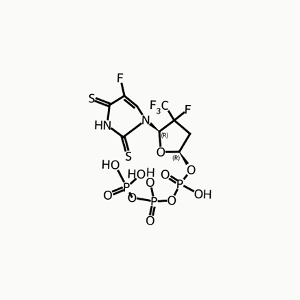 O=P(O)(O)OP(=O)(O)OP(=O)(O)O[C@@H]1CC(F)(C(F)(F)F)[C@H](n2cc(F)c(=S)[nH]c2=S)O1